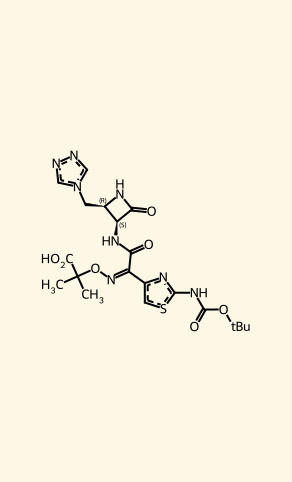 CC(C)(C)OC(=O)Nc1nc(C(=NOC(C)(C)C(=O)O)C(=O)N[C@@H]2C(=O)N[C@@H]2Cn2cnnc2)cs1